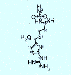 N=C(N)Nc1nc(CSCCC(=N)NS(N)(=O)=O)cs1.O